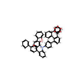 c1ccc(-c2ccc(-c3ccccc3N(c3ccc(-c4cccc(-c5ccccc5)c4-c4ccccc4-c4ccccc4)cc3)c3cccc4c3oc3ccccc34)cc2)cc1